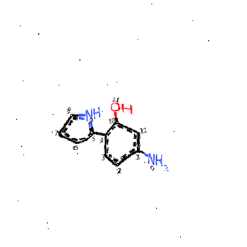 Nc1ccc(-c2ccc[nH]2)c(O)c1